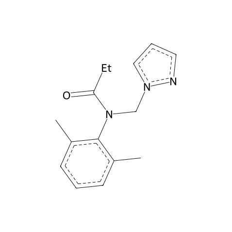 CCC(=O)N(Cn1cccn1)c1c(C)cccc1C